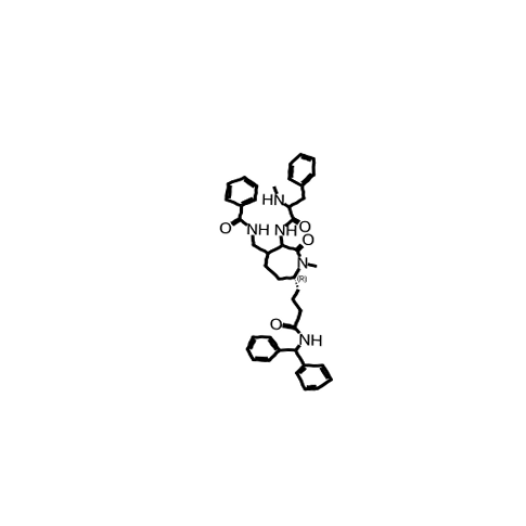 CNC(Cc1ccccc1)C(=O)NC1C(=O)N(C)[C@H](CCCC(=O)NC(c2ccccc2)c2ccccc2)CCC1CNC(=O)c1ccccc1